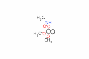 CCCNC(=O)Oc1cc(OCC)c(OCC)c2ccccc12